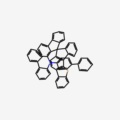 c1ccc(-c2ccc(N(c3ccccc3-c3ccccc3)c3cccc4c3C3(c5ccccc5-4)c4ccccc4-c4c3ccc3c4sc4ccccc43)cc2)cc1